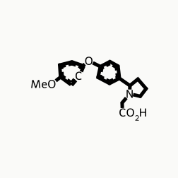 COc1ccc(Oc2ccc(C3CCCN3CC(=O)O)cc2)cc1